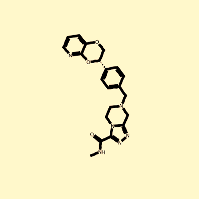 CNC(=O)c1nnc2n1CCN(Cc1ccc([C@H]3COc4cccnc4O3)cc1)C2